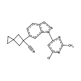 Cc1nc(Cl)cc(-n2ncc3ccc(C4(C#N)CC5(CC5)C4)cc32)n1